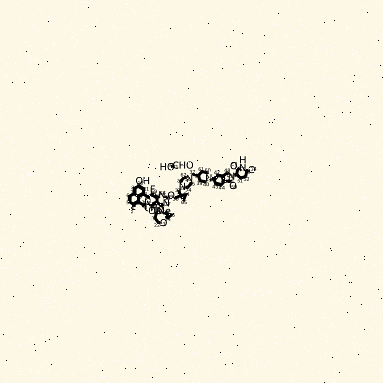 C#Cc1c(F)ccc2cc(O)cc(-c3nc(OC)c4c(N5CCCOC6CC65)nc(OCC5(CN6CCN(CC7CCN(c8ccc9c(c8)CN(C8CCC(=O)NC8=O)C9=O)CC7)CC6)CC5)nc4c3F)c12.O=CO